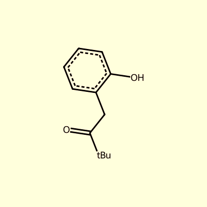 CC(C)(C)C(=O)Cc1ccccc1O